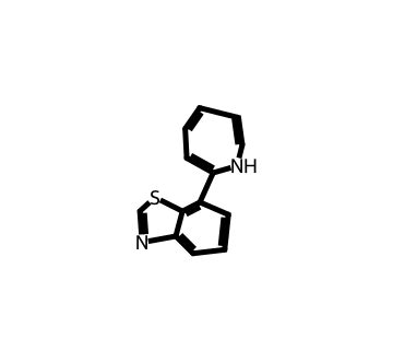 C1=CC=C(c2cccc3ncsc23)NC=C1